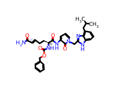 CC(C)Cc1cccc2[nH]c(Cn3cccc(NC(=O)[C@H](CC/C=C/C(N)=O)NC(=O)OCc4ccccc4)c3=O)nc12